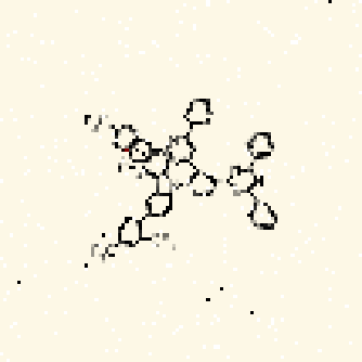 FC(F)(F)c1ccc(-c2ccc3c(c2)c2cc(-c4ccc(C(F)(F)F)cc4C(F)(F)F)ccc2n3-c2ccc(-c3nc(-c4ccccc4)nc(-c4ccccc4)n3)cc2-c2cc(-c3ccccc3)nc(-c3ccccc3)n2)c(C(F)(F)F)c1